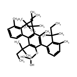 CCC(C)(C)c1c(C)cccc1-c1c(C)c(C(C)(C)CC)c(-c2cccc(C)c2C(C)(C)CC)c(C(C)(C)CC)c1OP(O)O